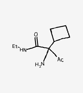 CCNC(=O)C(N)(C(C)=O)C1CCC1